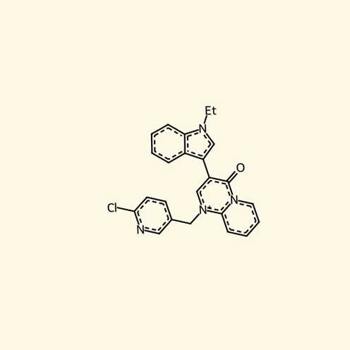 CCn1cc(-c2c[n+](Cc3ccc(Cl)nc3)c3ccccn3c2=O)c2ccccc21